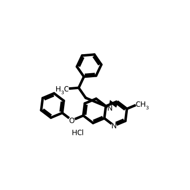 CC1=C2CCN(CC(C)c3ccccc3)C23CC=C(Oc2ccccc2)C=C3N=C1.Cl